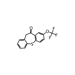 O=C1Cc2ccccc2Sc2ccc(OC(F)(F)F)cc21